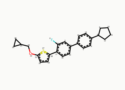 Fc1cc(-c2ccc(C3CCCC3)cc2)ccc1-c1ccc(OCC2CC2)s1